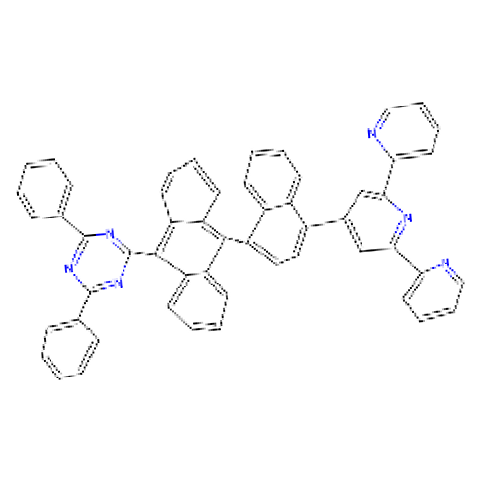 c1ccc(-c2nc(-c3ccccc3)nc(-c3c4ccccc4c(-c4ccc(-c5cc(-c6ccccn6)nc(-c6ccccn6)c5)c5ccccc45)c4ccccc34)n2)cc1